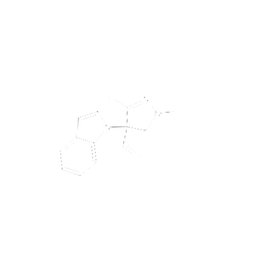 CC1=NN(C)CC1(C=O)n1ccc2ccccc21